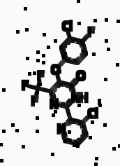 O=c1[nH]c(-c2ncccc2Cl)nc(C(F)(F)F)c1Oc1ccc(F)c(Cl)c1